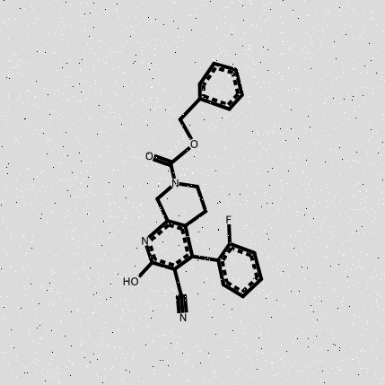 N#Cc1c(O)nc2c(c1-c1ccccc1F)CCN(C(=O)OCc1ccccc1)C2